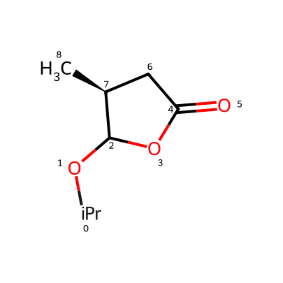 CC(C)OC1OC(=O)C[C@@H]1C